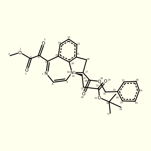 COC(=O)C(=O)C1=NC=C[N@+]2(CCC(=O)OC(C)(C)C)c3c(cccc31)CC2C(=O)OCc1ccccc1